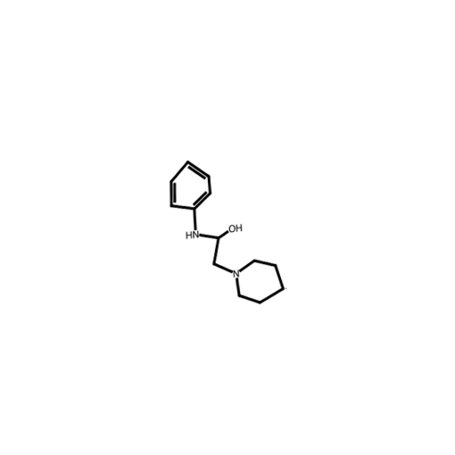 OC(CN1CC[CH]CC1)Nc1ccccc1